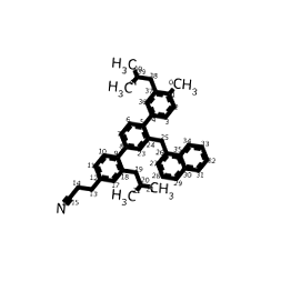 Cc1ccc(-c2ccc(-c3ccc(CCC#N)cc3CC(C)C)cc2Cc2cccc3ccccc23)cc1CC(C)C